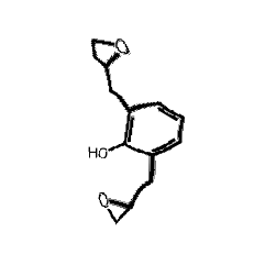 Oc1c(CC2CO2)cccc1CC1CO1